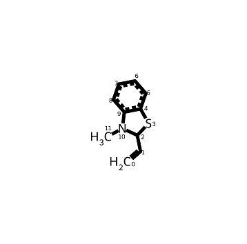 C=CC1Sc2ccccc2N1C